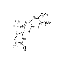 COc1cc2cc(-c3ccc(Cl)c(Cl)c3)[n+](C)cc2cc1OC.[Cl-]